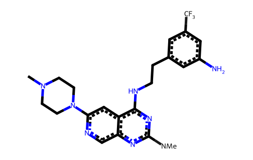 CNc1nc(NCCc2cc(N)cc(C(F)(F)F)c2)c2cc(N3CCN(C)CC3)ncc2n1